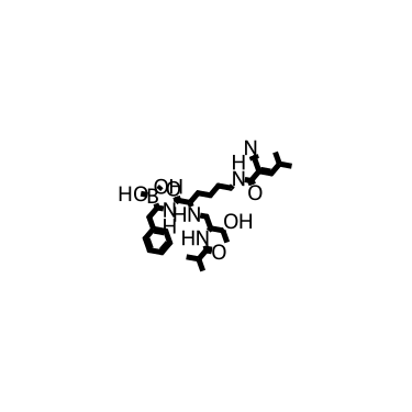 CC(C)C=C(C#N)C(=O)NCCCCC(NCC(NC(=O)C(C)C)C(C)O)C(=O)NC(Cc1ccccc1)B(O)O